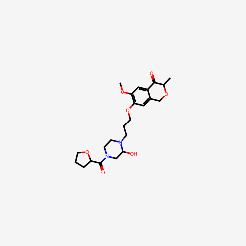 COc1cc2c(cc1OCCCN1CCN(C(=O)C3CCCO3)CC1O)COC(C)C2=O